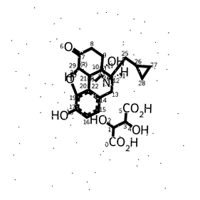 O=C(O)C(O)C(O)C(=O)O.O=C1CC[C@@]2(O)[C@H]3Cc4ccc(O)c5c4[C@@]2(CCN3CC2CC2)[C@H]1O5